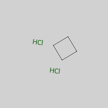 C1CCC1.Cl.Cl